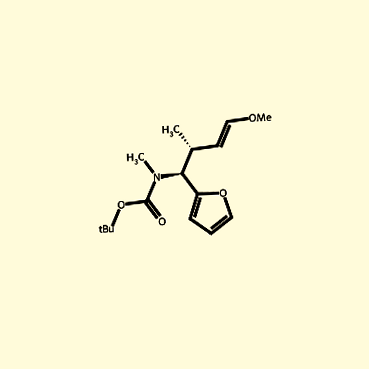 CO/C=C/[C@@H](C)[C@@H](c1ccco1)N(C)C(=O)OC(C)(C)C